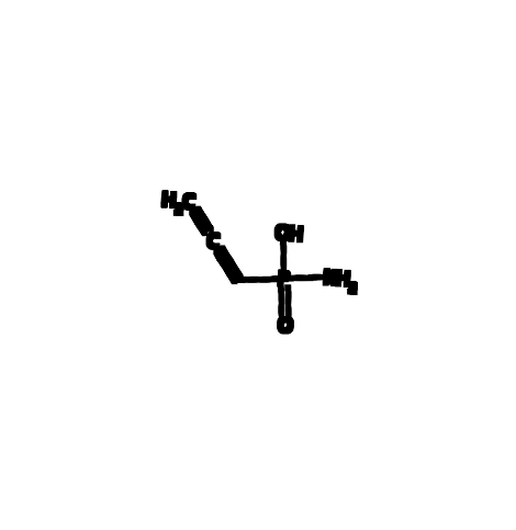 C=C=CP(N)(=O)O